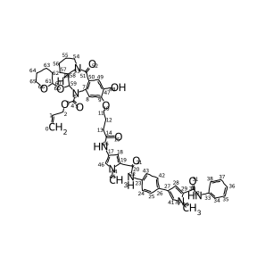 C=CCOC(=O)N1c2cc(OCCCC(=O)Nc3cc(C(=O)Nc4ccc(-c5cc(C(=O)Nc6ccccc6)n(C)c5)cc4)n(C)c3)c(O)cc2C(=O)N2CCCC[C@H]2C1OC1CCCCO1